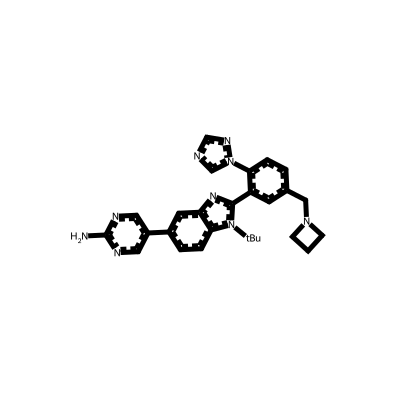 CC(C)(C)n1c(-c2cc(CN3CCC3)ccc2-n2cncn2)nc2cc(-c3cnc(N)nc3)ccc21